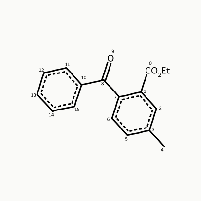 CCOC(=O)c1cc(C)ccc1C(=O)c1ccccc1